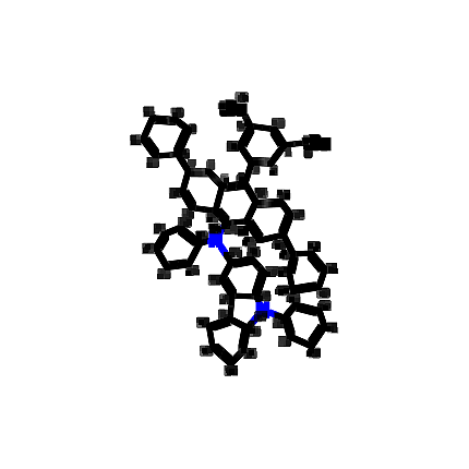 CC(C)(C)c1cc(-c2c3cc(-c4ccccc4)ccc3c(N(c3ccccc3)c3ccc4c(c3)c3ccccc3n4-c3ccccc3)c3cc(-c4ccccc4)ccc23)cc(C(C)(C)C)c1